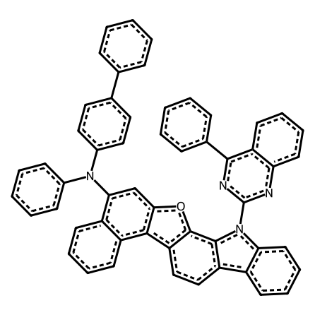 c1ccc(-c2ccc(N(c3ccccc3)c3cc4oc5c(ccc6c7ccccc7n(-c7nc(-c8ccccc8)c8ccccc8n7)c65)c4c4ccccc34)cc2)cc1